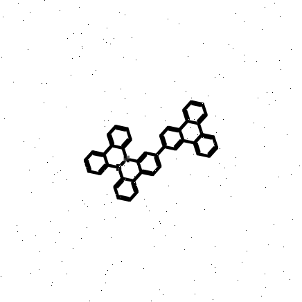 c1ccc2c(c1)B1c3ccccc3-c3ccc(-c4ccc5c6ccccc6c6ccccc6c5c4)cc3N1c1ccccc1-2